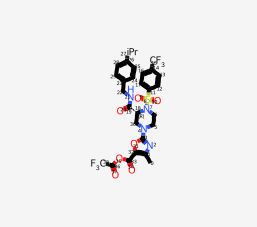 Cc1nc(N2CCN(S(=O)(=O)c3ccc(C(F)(F)F)cc3)[C@@H](C(=O)NCc3ccc(C(C)C)cc3)C2)oc1C(=O)OC(=O)C(F)(F)F